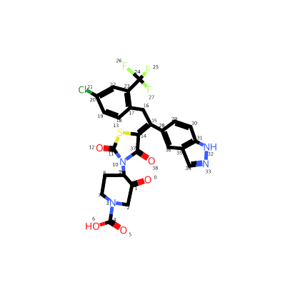 O=C1CN(C(=O)O)CCC1N1C(=O)SC(=C(Cc2ccc(Cl)cc2C(F)(F)F)c2ccc3[nH]ncc3c2)C1=O